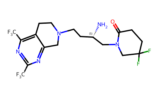 N[C@@H](CCN1CCc2c(nc(C(F)(F)F)nc2C(F)(F)F)C1)CN1CC(F)(F)CCC1=O